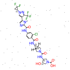 Cn1c(-c2cn([C@H]3CC3(F)F)nc2C(F)(F)F)cnc1C(=O)Nc1ccc(C(=O)N[C@H]2[C@@H]3CN(C(=O)N[C@H]4CN(C(=O)O)C[C@@H]4O)C[C@@H]32)c(Cl)c1